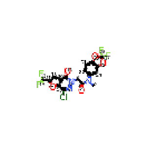 CN(C(=O)Cn1nc(Cl)c2oc(C(F)F)cc2c1=O)c1ccc2c(c1)OC(F)(F)O2